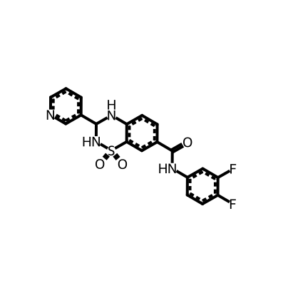 O=C(Nc1ccc(F)c(F)c1)c1ccc2c(c1)S(=O)(=O)NC(c1cccnc1)N2